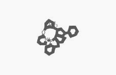 Cc1c2cccc1C1=CC(c3ccccc3)c3ccc4c(c31)P(c1ccccc1C4)[n+]1ccccc1O2